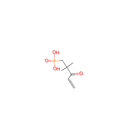 C=CC(=O)C(C)(C)CP(=O)(O)O